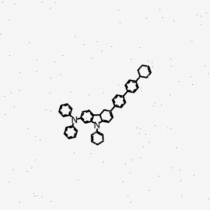 C1=CC(N2C3=CC=C(c4ccc(-c5ccc(C6CC=CCC6)cc5)cc4)CC3c3ccc(N(c4ccccc4)c4ccccc4)cc32)=CCC1